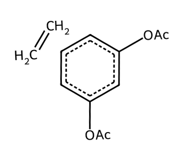 C=C.CC(=O)Oc1cccc(OC(C)=O)c1